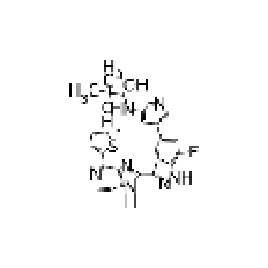 CC(C)(C)C(O)Nc1cncc(-c2cc(F)c3[nH]nc(-c4nc5c(-c6cccs6)nccc5[nH]4)c3c2)c1